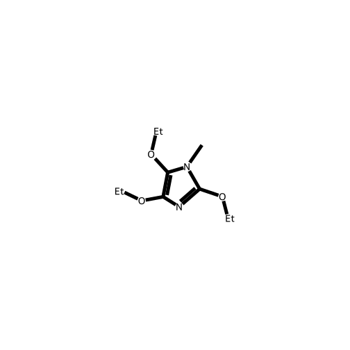 CCOc1nc(OCC)n(C)c1OCC